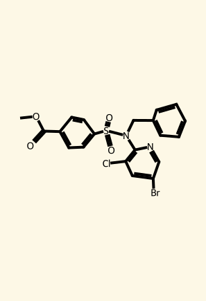 COC(=O)c1ccc(S(=O)(=O)N(Cc2ccccc2)c2ncc(Br)cc2Cl)cc1